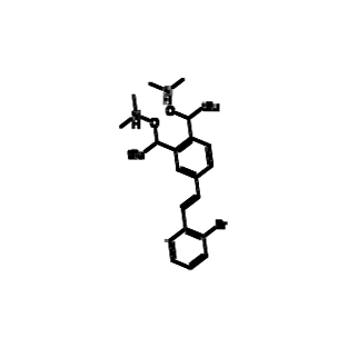 C[SiH](C)OC(c1ccc(/C=C/c2[c]cccc2Br)cc1C(O[SiH](C)C)C(C)(C)C)C(C)(C)C